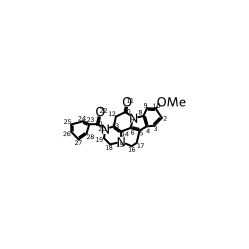 COc1ccc2c3c4n(c2c1)C(=O)CC1=C4N(CC3)CCN1C(=O)c1ccccc1